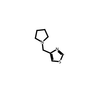 [c]1nc(CN2CCCC2)cs1